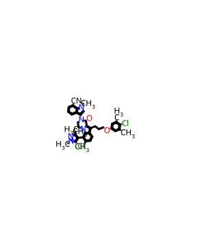 Cc1cc(OCCCc2c3n(c4c(-c5c(C)nn(C)c5C)c(Cl)ccc24)[C@H](C)CN(c2cn(C)c4c(C#N)cccc24)C3=O)cc(C)c1Cl